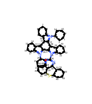 c1ccc(-n2c3ccccc3c3c4c5ccccc5n(-c5ccccc5)c4c4c(c5ccccc5n4-c4nc5c6c(cccc6n4)Sc4ccccc4-5)c32)cc1